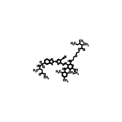 CCC(C)C(C)C(=O)OCCOCCNc1nc(NC)nc(Nc2c(C)cc(C)cc2C)c1/N=N/c1nn(-c2nc3ccc(S(=O)(=O)NC(C)CC(=O)OC)cc3s2)cc1C#N